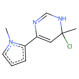 Cn1cccc1C1=CC(C)(Cl)NC=N1